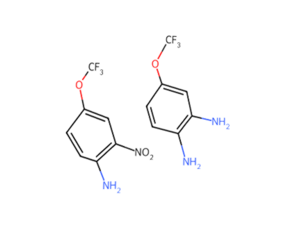 Nc1ccc(OC(F)(F)F)cc1N.Nc1ccc(OC(F)(F)F)cc1[N+](=O)[O-]